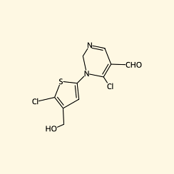 O=CC1=C(Cl)N(c2cc(CO)c(Cl)s2)CN=C1